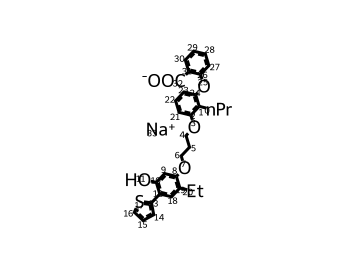 CCCc1c(OCCCOc2cc(O)c(-c3cccs3)cc2CC)cccc1Oc1ccccc1C(=O)[O-].[Na+]